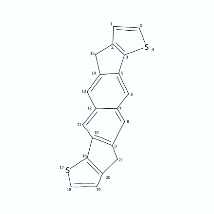 c1cc2c(s1)-c1cc3cc4c(cc3cc1C2)-c1sccc1C4